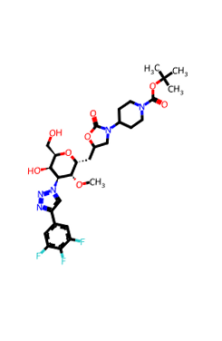 CO[C@@H]1[C@@H](n2cc(-c3cc(F)c(F)c(F)c3)nn2)[C@@H](O)[C@@H](CO)O[C@@H]1CC1CN(C2CCN(C(=O)OC(C)(C)C)CC2)C(=O)O1